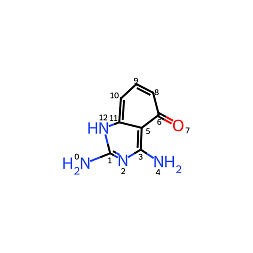 Nc1nc(N)c2c(=O)cccc-2[nH]1